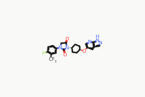 O=C1CN(c2ccc(F)c(C(F)(F)F)c2)C(=O)N1[C@H]1CC[C@H](Oc2cnc3[nH]ncc3c2)CC1